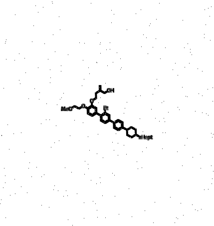 C=C(CO)CCOc1cc(-c2ccc(-c3ccc(C4CCC(CCCCCCC)CC4)cc3)cc2CC)ccc1OCCOC